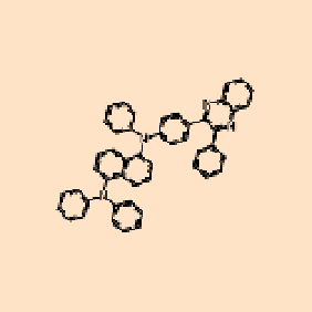 c1ccc(-c2nc3ccccc3nc2-c2ccc(N(c3ccccc3)c3cccc4c(N(c5ccccc5)c5ccccc5)cccc34)cc2)cc1